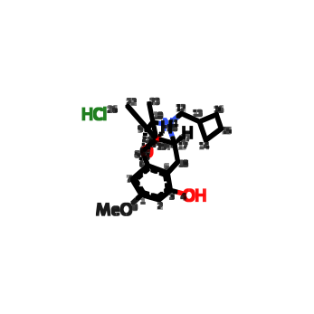 COc1cc(O)c2c(c1)[C@]13CCN(CC4CCC4)[C@H](C2)[C@@H]1CC(C)(C)OC3.Cl